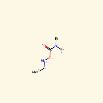 CCN(CC)C(=O)ONCOC